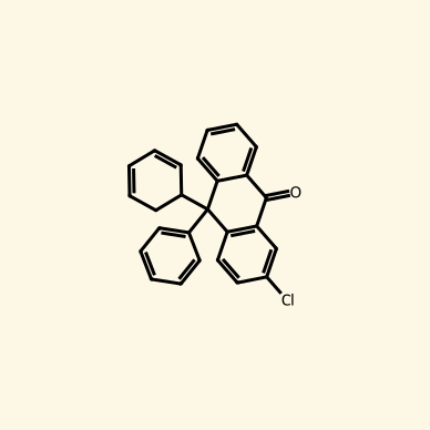 O=C1c2ccccc2C(c2ccccc2)(C2C=CC=CC2)c2ccc(Cl)cc21